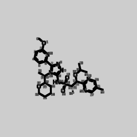 COc1cccc(-c2nnc(NS(=O)(=O)[C@@H](C)[C@@H](OC(C)C)c3ncc(C)cn3)n2[C@H](C)[C@H]2CCCCO2)n1